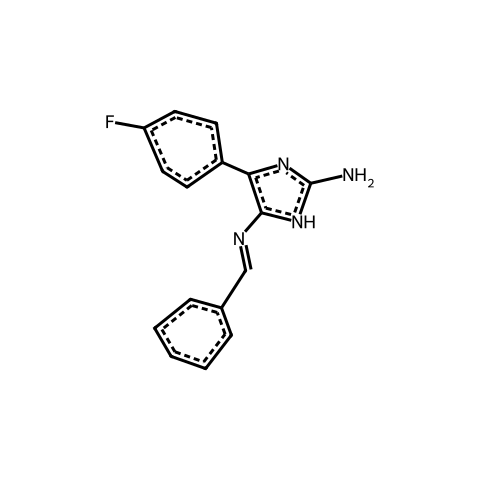 Nc1nc(-c2ccc(F)cc2)c(N=Cc2ccccc2)[nH]1